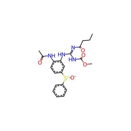 CCCC(=O)/N=C(\NC(=O)OC)Nc1cc([S+]([O-])c2ccccc2)ccc1NC(C)=O